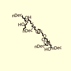 CCCCCCCCCCCCC(O)CN(CC(O)CCCCCCCCCCCC)C(C)CCSSCCN1CCN(CCOC(=O)CCCN(CC(O)CCCCCCCCCC)CC(O)CCCCCCCCCC)CC1